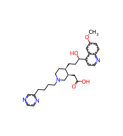 COc1ccc2nccc([C@H](O)CC[C@@H]3CCN(CCCCc4cnccn4)C[C@@H]3CC(=O)O)c2c1